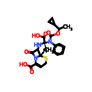 CC(OC(=O)N(c1ccccc1)[C@@](C)(NC1C(=O)N2C(C(=O)O)=CCS[C@@H]12)C(=O)O)C1CC1